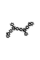 c1ccc(-c2cc(-c3ccc(-c4cnc5ccccc5c4)cc3)nc(-c3ccc(-c4ccc(-c5nc(-c6ccccc6)cc(-c6ccc(-c7cnc8ccccc8c7)cc6)n5)cc4)cc3)n2)cc1